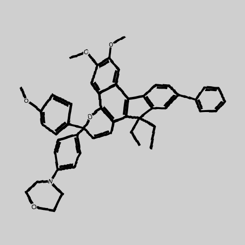 CCC1(CC)c2cc(-c3ccccc3)ccc2-c2c1c1c(c3cc(OC)c(OC)cc23)OC(c2ccc(OC)cc2)(c2ccc(N3CCOCC3)cc2)C=C1